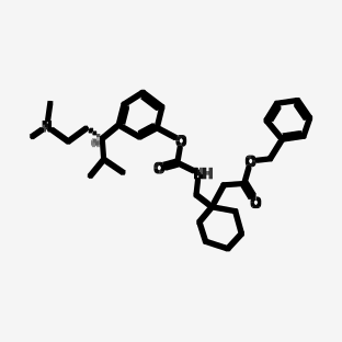 CC(C)[C@H](CCN(C)C)c1cccc(OC(=O)NCC2(CC(=O)OCc3ccccc3)CCCCC2)c1